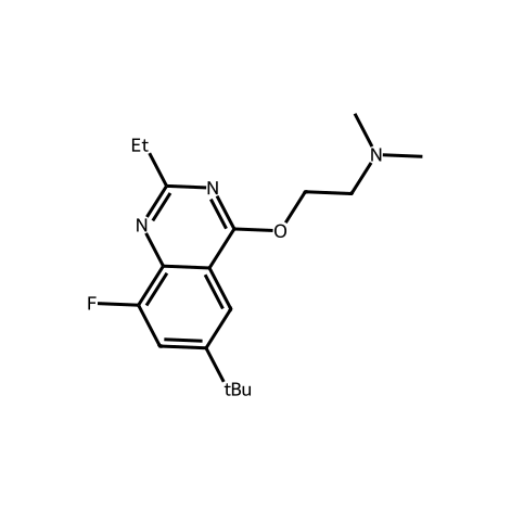 CCc1nc(OCCN(C)C)c2cc(C(C)(C)C)cc(F)c2n1